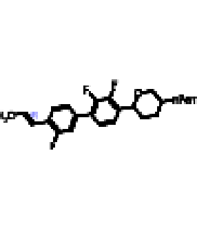 C/C=C/c1ccc(-c2ccc(C3CCC(CCCCC)CO3)c(F)c2F)cc1F